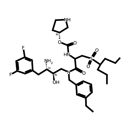 CCCC(CCC)S(=O)(=O)CC(NC(=O)O[C@@H]1CCNC1)C(=O)N(Cc1cccc(CC)c1)C[C@@H](O)[C@@H](N)Cc1cc(F)cc(F)c1